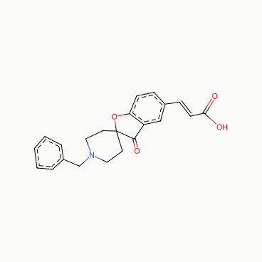 O=C(O)C=Cc1ccc2c(c1)C(=O)C1(CCN(Cc3ccccc3)CC1)O2